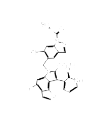 CC(C)(C)OC(=O)n1ncc2cc(Cn3c(C(=O)O)c(-c4ccc[nH]c4=O)c4c5occc5c(F)cc43)c(Cl)cc21